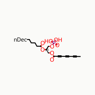 CC#CC#CC#CC(=O)OC[C@H](COP(=O)(O)O)OC(=O)CCCCCCCCCCCCCC